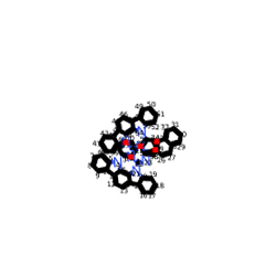 c1ccc(-n2c3ccccc3c3ccc4c5ccccc5n(-c5nc(-c6ccc7ccccc7c6)nc(-n6c7ccccc7c7ccc8c9ccccc9n(-c9ccccc9)c8c76)n5)c4c32)cc1